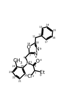 CCC(Cl)C(=O)N(Cc1nnc(Cc2ccccc2)o1)c1ccccc1C